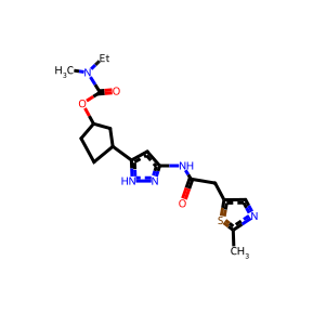 CCN(C)C(=O)OC1CCC(c2cc(NC(=O)Cc3cnc(C)s3)n[nH]2)C1